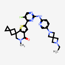 CCN1CC2(C1)CN(c1ccc(Nc3ncc(F)c(-c4cc5c(s4)C4(CN(C)C5=O)CC5(CC5)C4)n3)nc1)C2